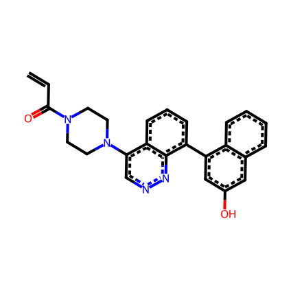 C=CC(=O)N1CCN(c2cnnc3c(-c4cc(O)cc5ccccc45)cccc23)CC1